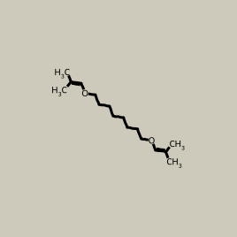 CC(C)=COCCCCCCCCOC=C(C)C